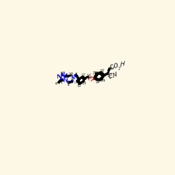 Cc1nnc2n1CCN(Cc1cccc(COc3ccc(C(C#N)CC(=O)O)cc3)c1)C2